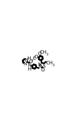 CCC1SC(=O)N(Cc2ccc(NC(=O)c3ncccn3)cc2)N=C1c1ccc(OC)c(OC)c1